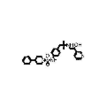 CC(C)(Cc1ccc(NS(=O)(=O)N2CCC(c3ccccc3)CC2)cc1)NC[C@@H](O)c1cccnc1